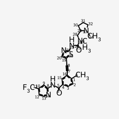 Cc1ccc(C(=O)Nc2cc(C(F)(F)F)ccn2)cc1C#Cc1cnc(NC(=O)N(C)CC2CCCN2C)s1